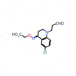 O=CCCN1CCC(=NOCC(=O)O)c2cc(Cl)ccc21